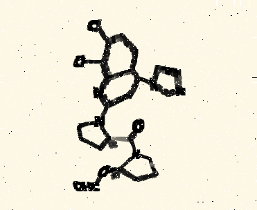 O=CO[C@@H]1CCCN1C(=O)[C@@H]1CCCN1c1cc(-n2ccnc2)c2ccc(Cl)c(Cl)c2n1